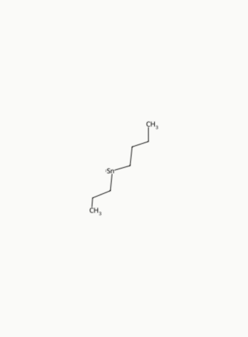 CCC[CH2][Sn][CH2]CC